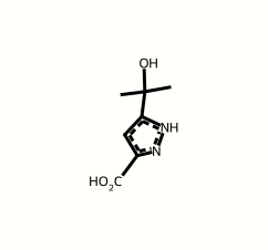 CC(C)(O)c1cc(C(=O)O)n[nH]1